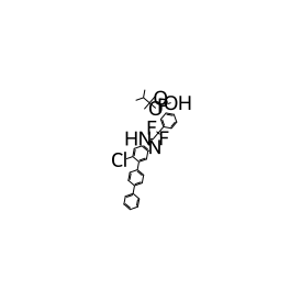 CC(C)C(C)(C)OP(=O)(O)c1cccc(C(F)(F)c2nc3cc(-c4ccc(-c5ccccc5)cc4)c(Cl)cc3[nH]2)c1